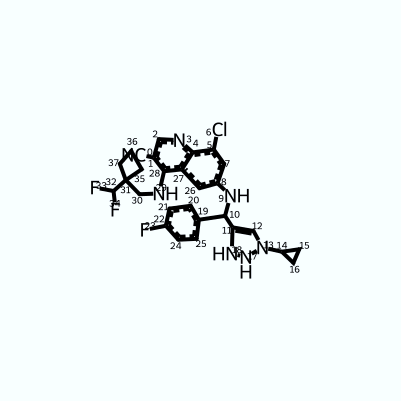 N#Cc1cnc2c(Cl)cc(NC(C3=CN(C4CC4)NN3)c3ccc(F)cc3)cc2c1NCC1(C(F)F)CCC1